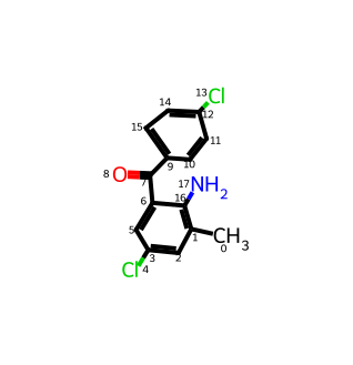 Cc1cc(Cl)cc(C(=O)c2ccc(Cl)cc2)c1N